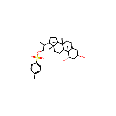 Cc1ccc(S(=O)(=O)OCC(C)[C@H]2CC[C@H]3[C@@H]4CC=C5C[C@@H](O)C[C@H](O)[C@]5(C)[C@H]4CC[C@]23C)cc1